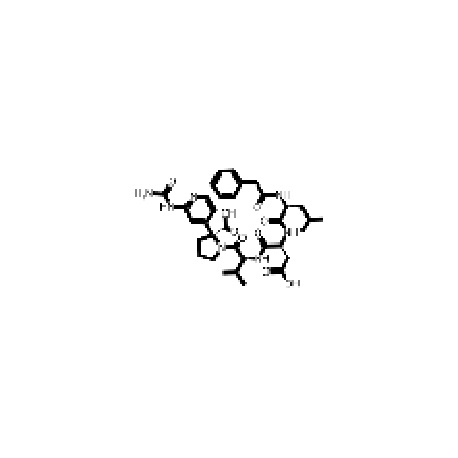 CC(C)C[C@H](NC(=O)Cc1ccccc1)C(=O)N[C@@H](CC(=O)O)C(=O)N[C@H](C(=O)N1CCC[C@@]1(C(=O)O)c1ccnc(NC(N)=O)c1)C(C)C